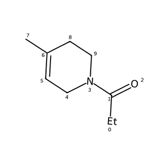 CCC(=O)N1CC=C(C)CC1